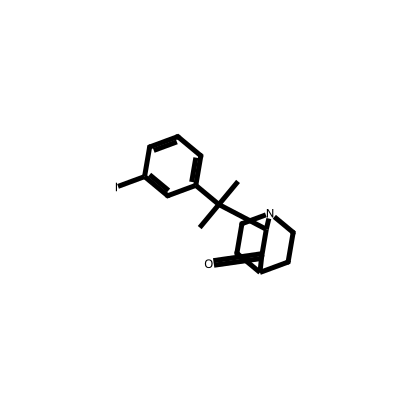 CC(C)(c1cccc(I)c1)C1C(=O)C2CCN1CC2